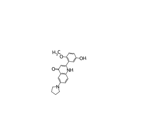 COc1ccc(O)cc1-c1cc(=O)c2cc(N3CCCC3)ccc2[nH]1